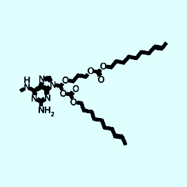 CC=CCCCCCCCOC(=O)OCCCOC(OC(=O)OCCCCCCCC=CC)n1cnc2c(NC)nc(N)nc21